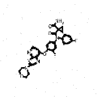 NC(=O)C1(C(=O)N(c2ccc(F)cc2)c2ccc(Oc3ccnc4nc(N5CCOCC5)cnc34)c(F)c2)CC1